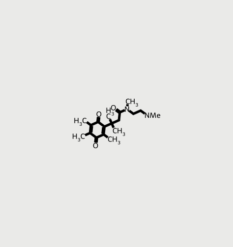 CNCCN(C)C(=O)CC(C)(C)C1=C(C)C(=O)C(C)=C(C)C1=O